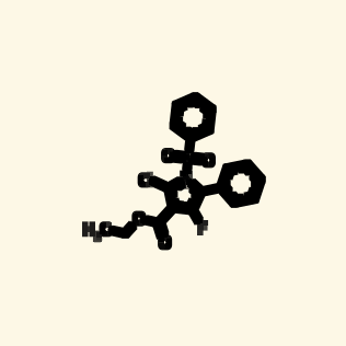 CCOC(=O)c1c(F)c(-c2ccccc2)n(S(=O)(=O)c2ccccc2)c1Cl